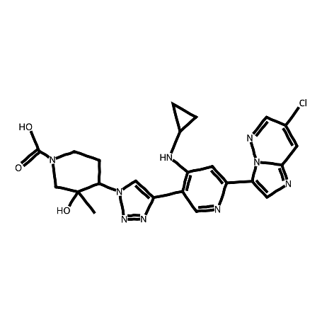 CC1(O)CN(C(=O)O)CCC1n1cc(-c2cnc(-c3cnc4cc(Cl)cnn34)cc2NC2CC2)nn1